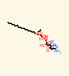 CCCCCCCCCCCCCCCCCCOC[C@H](COP(=O)(O)OC[C@H]1O[C@@](C=NC)(c2ccc3c(N)ncnn23)[C@H](O)[C@@H]1O)OC(C)C